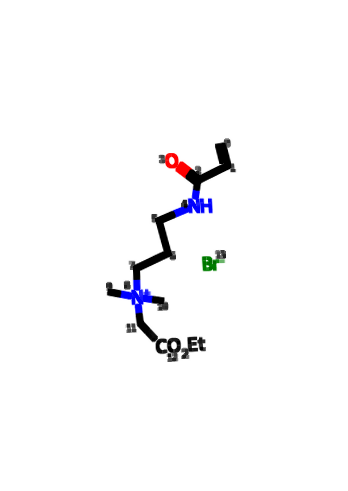 C=CC(=O)NCCC[N+](C)(C)CC(=O)OCC.[Br-]